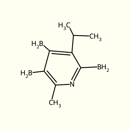 Bc1nc(C)c(B)c(B)c1C(C)C